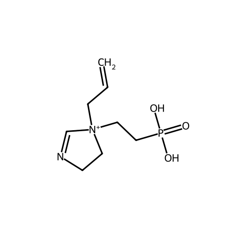 C=CC[N+]1(CCP(=O)(O)O)C=NCC1